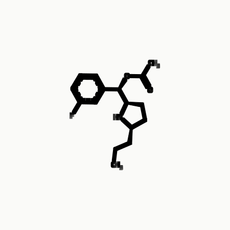 CCC[C@@H]1CC[C@H]([C@H](OC(C)=O)c2cccc(F)c2)N1